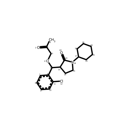 CC(=O)COC(c1ccccc1Cl)C1CCN(C2CCCCC2)C1=O